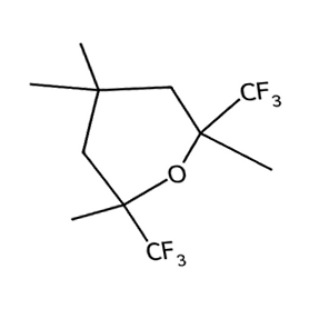 CC1(C)CC(C)(C(F)(F)F)OC(C)(C(F)(F)F)C1